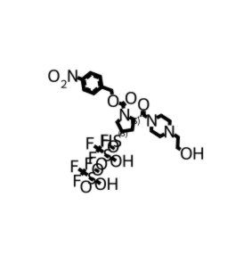 O=C([C@@H]1C[C@H](S)CN1C(=O)OCc1ccc([N+](=O)[O-])cc1)N1CCN(CCO)CC1.O=S(=O)(O)C(F)(F)F.O=S(=O)(O)C(F)(F)F